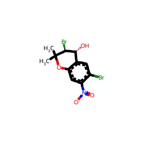 CC1(C)Oc2cc([N+](=O)[O-])c(Br)cc2[C@@H](O)[C@@H]1Br